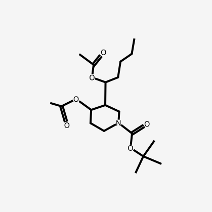 CCCCC(OC(C)=O)C1CN(C(=O)OC(C)(C)C)CCC1OC(C)=O